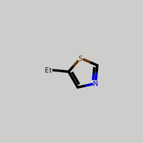 [CH2]Cc1cncs1